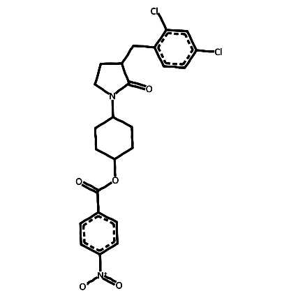 O=C(OC1CCC(N2CCC(Cc3ccc(Cl)cc3Cl)C2=O)CC1)c1ccc([N+](=O)[O-])cc1